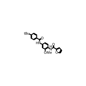 COc1cc(NC(=O)c2ccc(C(C)(C)C)cc2)ccc1NC(=O)c1cc#co1